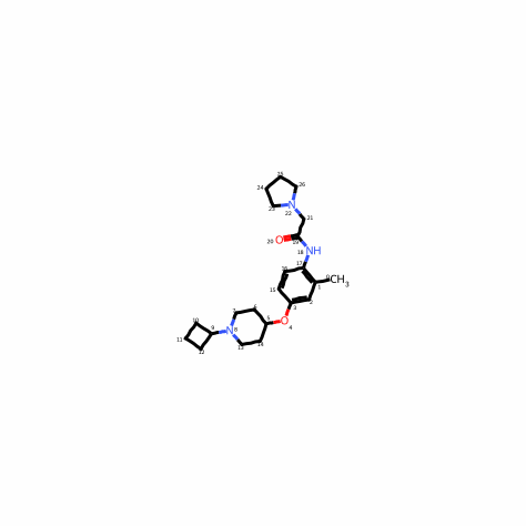 Cc1cc(OC2CCN(C3CCC3)CC2)ccc1NC(=O)CN1CCCC1